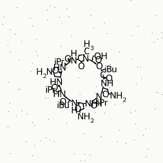 CCC(C)C1CC(=O)NC(CCN)C(=O)N[C@@H](C(C)C)C(=O)NC(CCN)C(=O)NC(C(C)CC)C(=O)NC(CC(C)C)C(=O)NC(CCN)C(=O)NC(C(C)C)C(=O)NC2CC(C)N(C2=O)C(CO)C(=O)O1